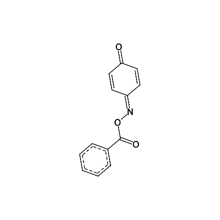 O=C1C=CC(=NOC(=O)c2ccccc2)C=C1